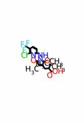 CC1=C(CC(C(=O)O)C(C)(C)C)C(=O)N(Nc2ccc(C(F)(F)F)c(Cl)n2)C1=O